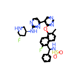 Cc1ccc2c(C(N[SH](=O)=O)c3ccccc3)c(F)ccc2c1Oc1ncncc1-c1ccnc(N[C@@H]2CNC[C@@H](F)C2)n1